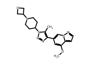 COc1cc(-c2nnn(C3CCN(C4COC4)CC3)c2C)cn2nccc12